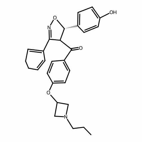 CCCN1CC(Oc2ccc(C(=O)C3C(C4=CCCC=C4)=NO[C@@H]3c3ccc(O)cc3)cc2)C1